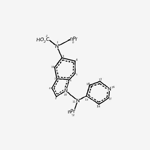 CCCN(C(=O)O)c1ccc2c(ccn2N(CCC)c2ccncc2)c1